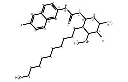 CCCCCCCCCCCN1C(NC(=O)Nc2ccc3cc(F)ccc3c2)NC(C)C(F)C1NO